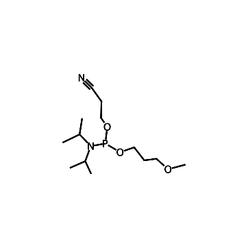 COCCCOP(OCCC#N)N(C(C)C)C(C)C